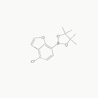 CC1(C)OB(c2ccc(Cl)c3ccoc23)OC1(C)C